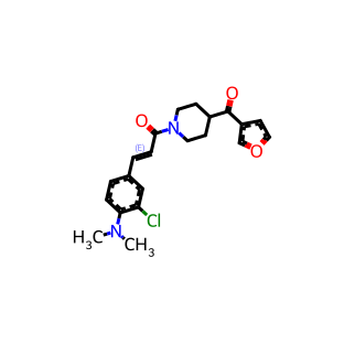 CN(C)c1ccc(/C=C/C(=O)N2CCC(C(=O)c3ccoc3)CC2)cc1Cl